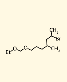 CCOCOCCCC(C)CC(C)Br